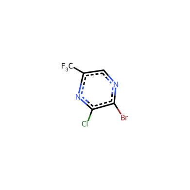 FC(F)(F)c1cnc(Br)c(Cl)n1